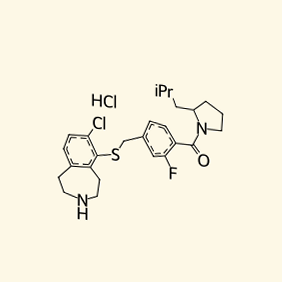 CC(C)CC1CCCN1C(=O)c1ccc(CSc2c(Cl)ccc3c2CCNCC3)cc1F.Cl